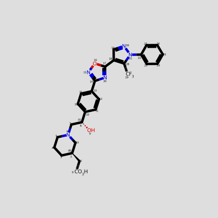 O=C(O)C[C@H]1CCCN(C[C@@H](O)c2ccc(-c3noc(-c4cnn(-c5ccccc5)c4C(F)(F)F)n3)cc2)C1